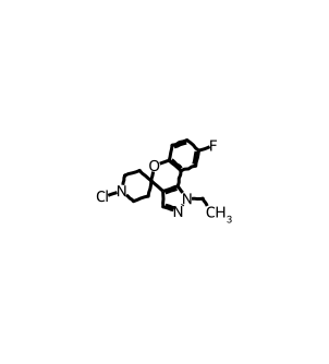 CCn1ncc2c1-c1cc(F)ccc1OC21CCN(Cl)CC1